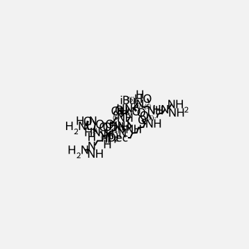 CCCCCCCCCCCCCCCC(=O)N[C@@H](CCCNC(=N)N)C(=O)N[C@@H](CO)C(=O)N[C@H](C(=O)N[C@@H](CCCNC(=N)N)C(=O)N[C@@H](CO)C(=O)N[C@@H](CC(C)C)C(=O)N[C@@H](CCCNC(=N)N)C(=O)N[C@@H](CC(N)=O)C(N)=O)[C@@H](C)CC